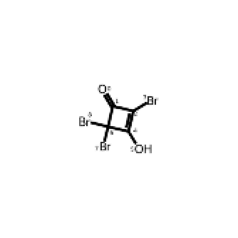 O=C1C(Br)=C(O)C1(Br)Br